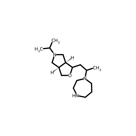 CC(C)N1C[C@@H]2COC(CC(C)N3CCCNCC3)[C@@H]2C1